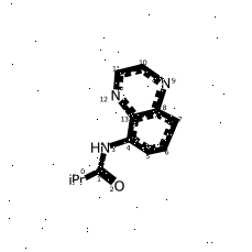 CC(C)C(=O)Nc1cccc2nccnc12